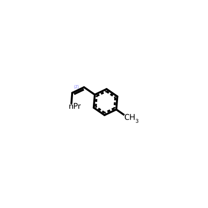 CCC/C=C\c1ccc(C)cc1